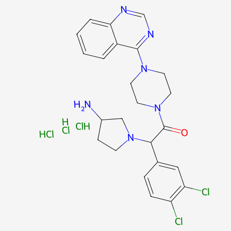 Cl.Cl.Cl.NC1CCN(C(C(=O)N2CCN(c3ncnc4ccccc34)CC2)c2ccc(Cl)c(Cl)c2)C1